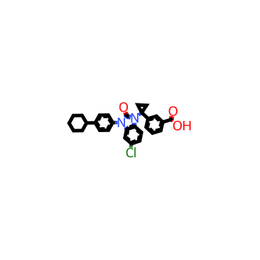 O=C(O)c1cccc(C2(n3c(=O)n(-c4ccc(C5CCCCC5)cc4)c4cc(Cl)ccc43)CC2)c1